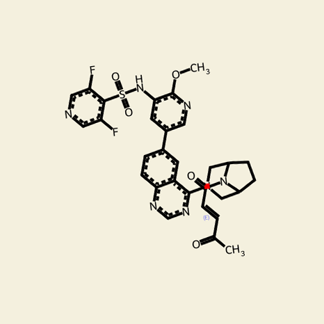 COc1ncc(-c2ccc3ncnc(N4CC5CCC(C4)N5C(=O)/C=C/C(C)=O)c3c2)cc1NS(=O)(=O)c1c(F)cncc1F